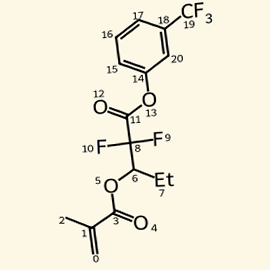 C=C(C)C(=O)OC(CC)C(F)(F)C(=O)Oc1cccc(C(F)(F)F)c1